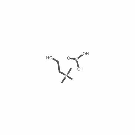 C[N+](C)(C)CCO.[O-]B(O)O